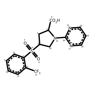 O=C(O)C1CC(S(=O)(=O)c2ccccc2C(F)(F)F)CN1c1ncccn1